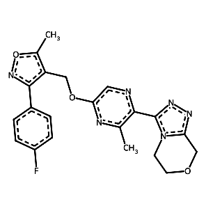 Cc1nc(OCc2c(-c3ccc(F)cc3)noc2C)cnc1-c1nnc2n1CCOC2